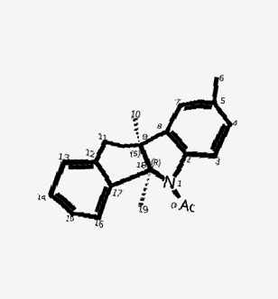 CC(=O)N1c2ccc(C)cc2[C@]2(C)Cc3ccccc3[C@]12C